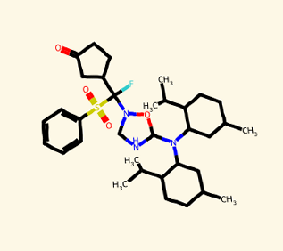 CC1CCC(C(C)C)C(N(C2NCN(C(F)(C3CCC(=O)C3)S(=O)(=O)c3ccccc3)O2)C2CC(C)CCC2C(C)C)C1